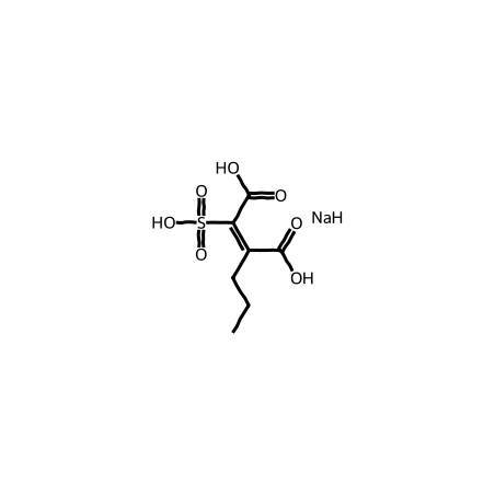 CCC/C(C(=O)O)=C(/C(=O)O)S(=O)(=O)O.[NaH]